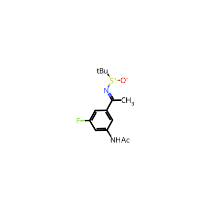 CC(=O)Nc1cc(F)cc(C(C)=N[S+]([O-])C(C)(C)C)c1